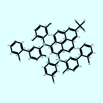 Cc1ccc(C)c(N(c2cc(-c3ccccc3C)ccc2C)c2cc(N(c3cc(C)ccc3C)c3cc(-c4ccccc4C)ccc3C)c3ccc4cc(C(C)(C)C)cc5ccc2c3c54)c1